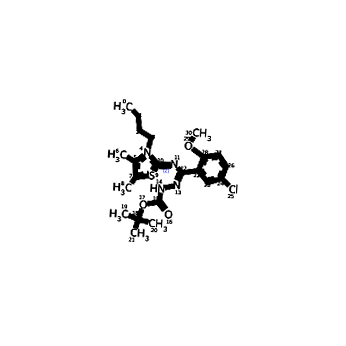 CCCCn1c(C)c(C)s/c1=N\C(=NNC(=O)OC(C)(C)C)c1cc(Cl)ccc1OC